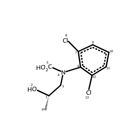 C[C@H](O)CN(C(=O)O)c1c(Cl)cccc1Cl